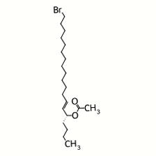 CCCC[C@H](C=CCCCCCCCCCCCCBr)OC(C)=O